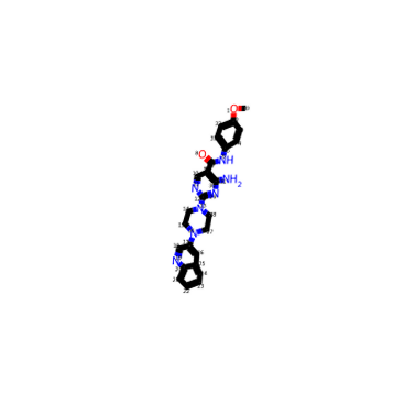 COc1ccc(NC(=O)c2cnc(N3CCN(c4cnc5ccccc5c4)CC3)nc2N)cc1